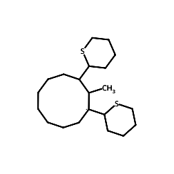 CC1[C](C2CCCCS2)CCCCCCCC1C1CCCCS1